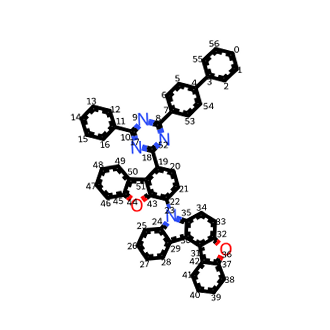 c1ccc(-c2ccc(-c3nc(-c4ccccc4)nc(-c4ccc(-n5c6ccccc6c6c7c(ccc65)oc5ccccc57)c5oc6ccccc6c45)n3)cc2)cc1